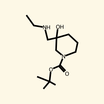 CCNCC1(O)CCCN(C(=O)OC(C)(C)C)C1